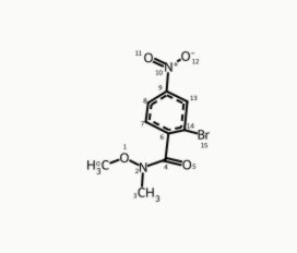 CON(C)C(=O)c1ccc([N+](=O)[O-])cc1Br